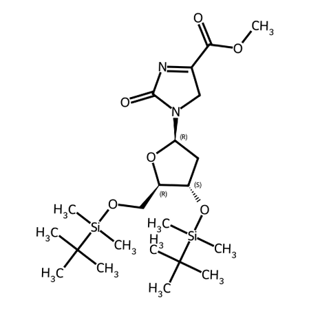 COC(=O)C1=NC(=O)N([C@H]2C[C@H](O[Si](C)(C)C(C)(C)C)[C@@H](CO[Si](C)(C)C(C)(C)C)O2)C1